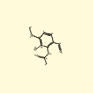 COc1ccc(C=O)c(OC(C)=O)c1Cl